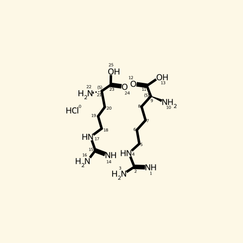 Cl.N=C(N)NCCCC[C@H](N)C(=O)O.N=C(N)NCCC[C@H](N)C(=O)O